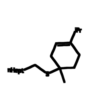 CCCCCCCCSC1(C)CC=C(C(C)C)CC1